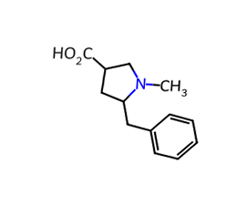 CN1CC(C(=O)O)CC1Cc1ccccc1